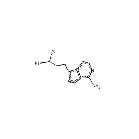 CCC(CC)CCc1ncc2c(N)nccn12